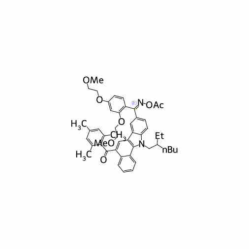 CCCCC(CC)Cn1c2ccc(/C(=N\OC(C)=O)c3ccc(OCCOC)cc3OCCOC)cc2c2cc(C(=O)c3c(C)cc(C)cc3C)c3ccccc3c21